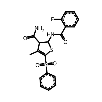 CC1=C(S(=O)(=O)c2ccccc2)SC(NC(=O)c2ccccc2F)C1C(N)=O